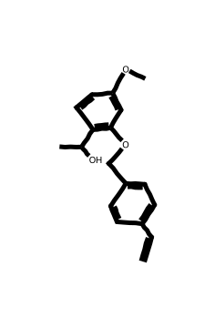 C=Cc1ccc(COc2cc(OC)ccc2C(C)O)cc1